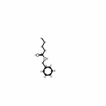 [CH2]CCCC(=O)OCc1ccccc1